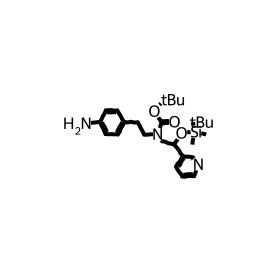 CC(C)(C)OC(=O)N(CCc1ccc(N)cc1)CC(O[Si](C)(C)C(C)(C)C)c1cccnc1